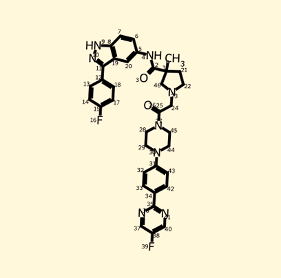 CC1(C(=O)Nc2ccc3[nH]nc(-c4ccc(F)cc4)c3c2)CCN(CC(=O)N2CCN(c3ccc(-c4ncc(F)cn4)cc3)CC2)C1